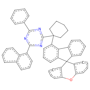 c1ccc(-c2nc(-c3cccc4ccccc34)nc(C3(c4cccc5c4-c4ccccc4C54c5ccccc5Oc5ccccc54)CCCCC3)n2)cc1